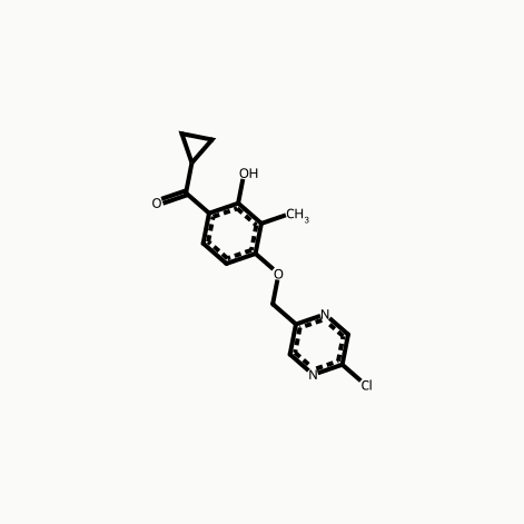 Cc1c(OCc2cnc(Cl)cn2)ccc(C(=O)C2CC2)c1O